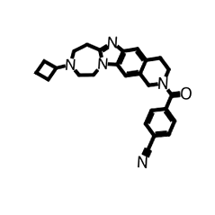 N#Cc1ccc(C(=O)N2CCc3cc4nc5n(c4cc3C2)CCN(C2CCC2)CC5)cc1